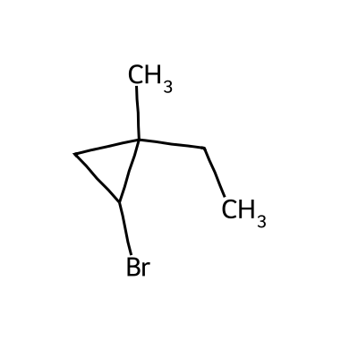 CCC1(C)CC1Br